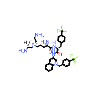 C[N+](CCN)(CCN)CCC[C@H](N)C(=O)N[C@@H](Cc1ccc(C(F)(F)F)cc1)C(=O)Nc1cc2ccccc2[n+](Cc2ccc(C(F)(F)F)cc2)c1